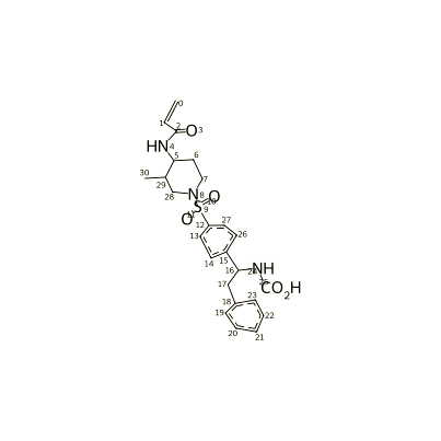 C=CC(=O)NC1CCN(S(=O)(=O)c2ccc(C(Cc3ccccc3)NC(=O)O)cc2)CC1C